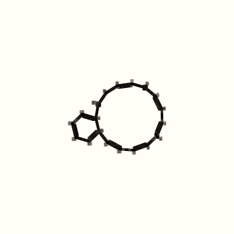 C1=CN=CC=COC=CCOc2ccccc2C=C1